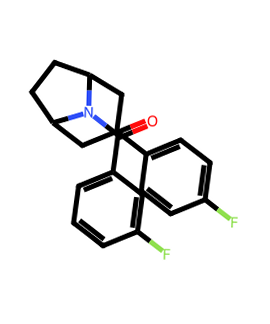 O=C(c1cccc(F)c1)N1C2CCC1CC(c1ccc(F)cc1)C2